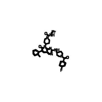 Cc1ccccc1-c1cc2cnc(NC3CCN(C(=O)c4ccc(F)cc4)CC3)nc2n(C2CCN(C(=O)NC(C)C)CC2)c1=O